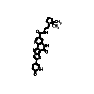 CC1(C)CCCN1CCNC(=O)c1cnc2c(c1)[nH]c(=O)c1c2nn2cc(-c3ccc(=O)[nH]c3)sc12